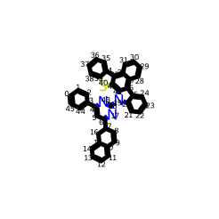 c1ccc(-c2cc(C3C=Cc4ccccc4C3)nc(-n3c4ccccc4c4c5ccccc5c5c6ccccc6sc5c43)n2)cc#1